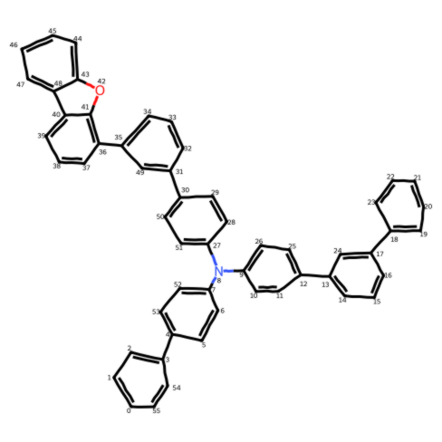 c1ccc(-c2ccc(N(c3ccc(-c4cccc(-c5ccccc5)c4)cc3)c3ccc(-c4cccc(-c5cccc6c5oc5ccccc56)c4)cc3)cc2)cc1